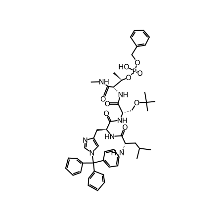 CNC(=O)[C@@H](NC(=O)[C@H](COC(C)(C)C)NC(=O)[C@H](Cc1cn(C(c2ccccc2)(c2ccccc2)c2ccccc2)cn1)NC(=O)[C@@H](N)CC(C)C)[C@@H](C)OP(=O)(O)OCc1ccccc1